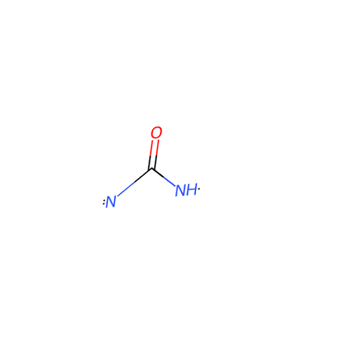 [N]C([NH])=O